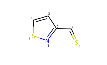 S=[C]c1ccsn1